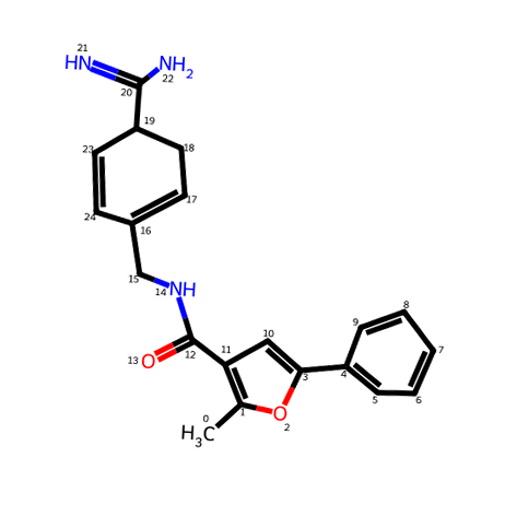 Cc1oc(-c2ccccc2)cc1C(=O)NCC1=CCC(C(=N)N)C=C1